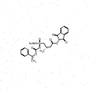 CC(=O)NS(=O)(C[C@@H](C)CC(=O)ON1C(=O)c2ccccc2C1=O)=NC(=O)O[C@@H](C)c1ccccc1